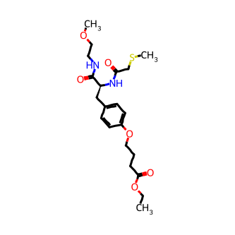 CCOC(=O)CCCOc1ccc(C[C@H](NC(=O)CSC)C(=O)NCCOC)cc1